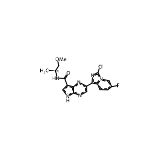 COC[C@H](C)NC(=O)c1c[nH]c2ncc(-c3nc(Cl)n4cc(F)ccc34)nc12